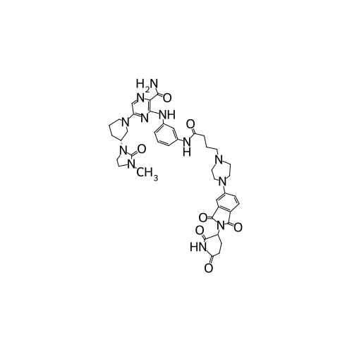 CN1CCN([C@@H]2CCCN(c3cnc(C(N)=O)c(Nc4cccc(NC(=O)CCCN5CCN(c6ccc7c(c6)C(=O)N(C6CCC(=O)NC6=O)C7=O)CC5)c4)n3)C2)C1=O